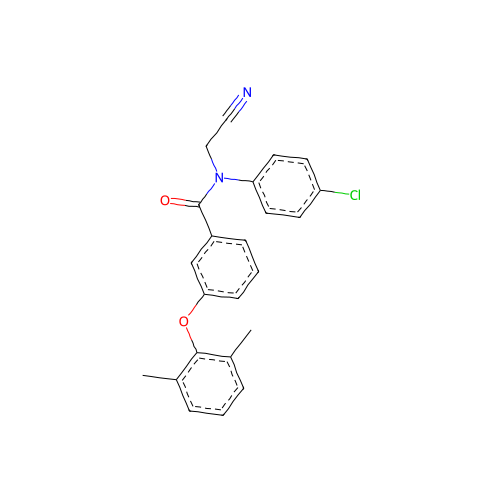 Cc1cccc(C)c1Oc1cccc(C(=O)N(CC#N)c2ccc(Cl)cc2)c1